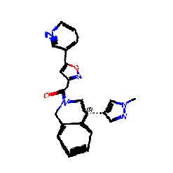 Cn1cc([C@H]2CN(C(=O)c3cc(-c4cccnc4)on3)Cc3ccccc32)cn1